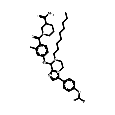 CCCCCCCCCN1CCn2c(-c3ccc(OC(F)F)cc3)cnc2C1Nc1ccc(C(=O)N2CCCC(C(N)=O)C2)c(C)c1